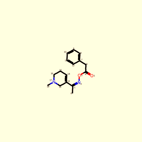 CC(=NOC(=O)Cc1ccccc1)C1=CCCN(C)C1